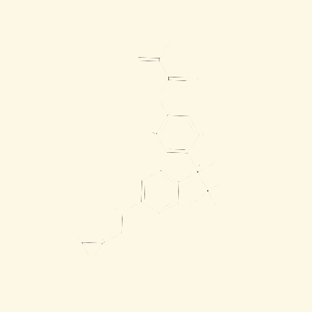 C=C(C)C(=O)Sc1ccc(C(C)(c2ccc(SCC3CO3)cc2)C(F)(F)F)cc1